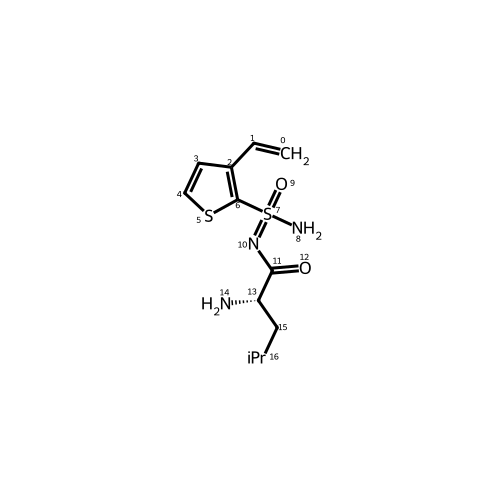 C=Cc1ccsc1S(N)(=O)=NC(=O)[C@@H](N)CC(C)C